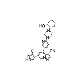 Cc1n[nH]cc1-c1cc(-c2ccc(N3CCN([C@@H]4CCCC[C@H]4O)CC3)nc2)c2c(C#N)cnn2c1